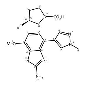 COc1ccc(-c2cnn(C)c2)c2nc(N)[nH]c12.O=C(O)N1CC[C@H](F)C1